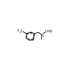 C[C@H](C=O)Cc1cccc(C(F)(F)F)c1